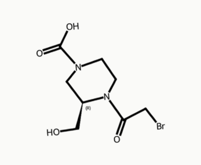 O=C(O)N1CCN(C(=O)CBr)[C@@H](CO)C1